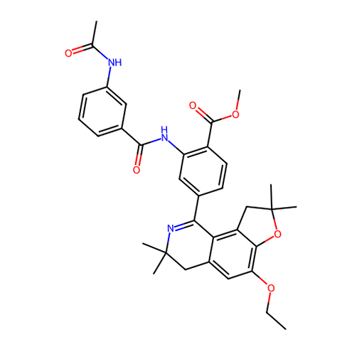 CCOc1cc2c(c3c1OC(C)(C)C3)C(c1ccc(C(=O)OC)c(NC(=O)c3cccc(NC(C)=O)c3)c1)=NC(C)(C)C2